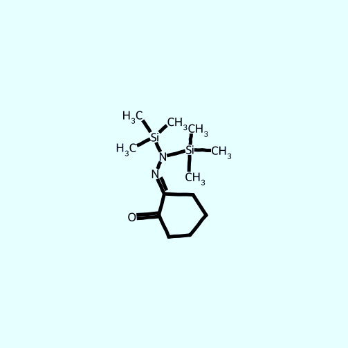 C[Si](C)(C)N(N=C1CCCCC1=O)[Si](C)(C)C